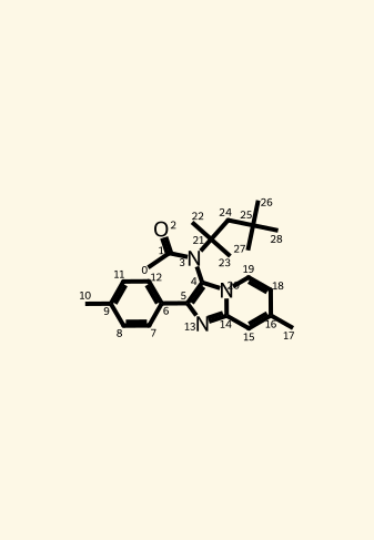 CC(=O)N(c1c(-c2ccc(C)cc2)nc2cc(C)ccn12)C(C)(C)CC(C)(C)C